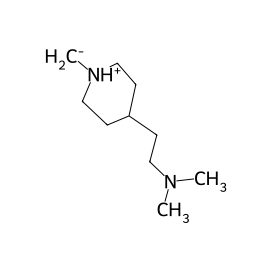 [CH2-][NH+]1CCC(CCN(C)C)CC1